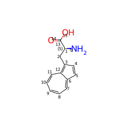 N[C@@H](Cc1ccc2cccccc1-2)C(=O)O